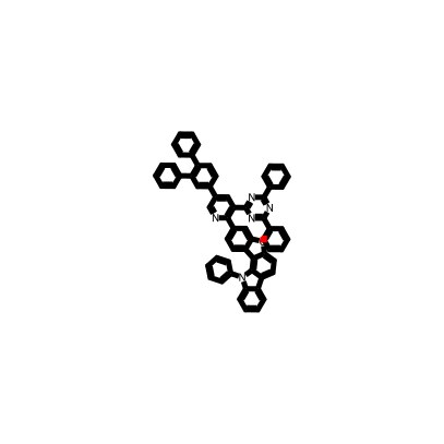 c1ccc(-c2nc(-c3ccccc3)nc(-c3cc(-c4ccc(-c5ccccc5)c(-c5ccccc5)c4)cnc3-c3ccc4c(c3)oc3ccc5c6ccccc6n(-c6ccccc6)c5c34)n2)cc1